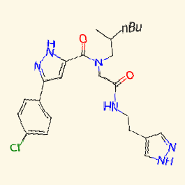 CCCCC(C)CN(CC(=O)NCCc1cn[nH]c1)C(=O)c1cc(-c2ccc(Cl)cc2)n[nH]1